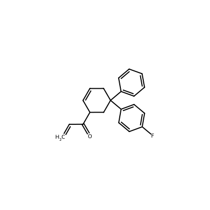 C=CC(=O)C1C=CCC(c2ccccc2)(c2ccc(F)cc2)C1